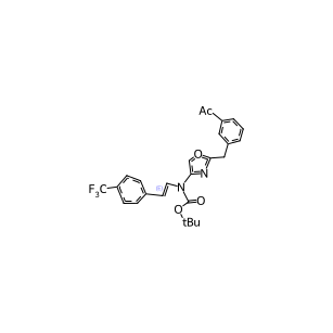 CC(=O)c1cccc(Cc2nc(N(/C=C/c3ccc(C(F)(F)F)cc3)C(=O)OC(C)(C)C)co2)c1